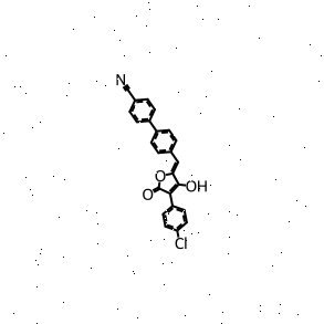 N#Cc1ccc(-c2ccc(/C=C3\OC(=O)C(c4ccc(Cl)cc4)=C3O)cc2)cc1